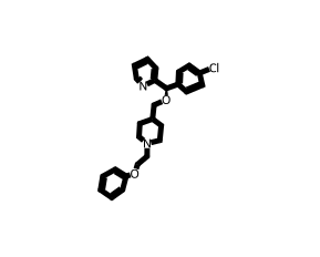 Clc1ccc([C@@H](OCC2CCN(CCOc3ccccc3)CC2)c2ccccn2)cc1